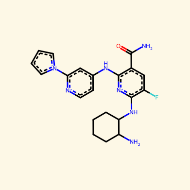 NC(=O)c1cc(F)c(NC2CCCCC2N)nc1Nc1ccnc(-n2cccc2)c1